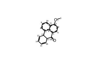 COc1ccc2c3c(cccc13)C1C=CC=CC1C2=O